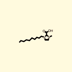 CCCCCCCCCCN1C=CN(C)C1C(=O)O